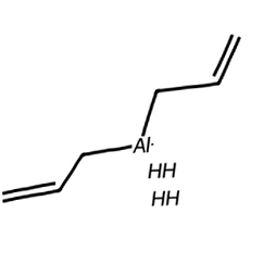 C=C[CH2][Al][CH2]C=C.[HH].[HH]